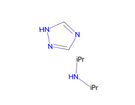 CC(C)NC(C)C.c1nc[nH]n1